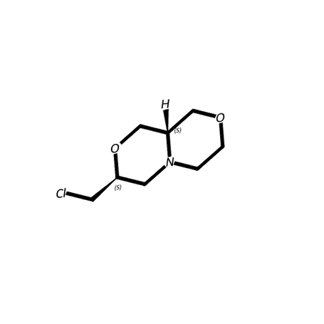 ClC[C@@H]1CN2CCOC[C@H]2CO1